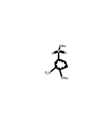 CNS(=O)(=O)c1ccc(OC)c([N+](=O)[O-])c1